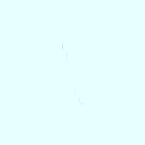 OCCOCCOCCBr